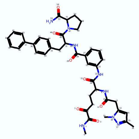 CNC(=O)C(=O)CCC(NC(=O)Cc1cc(C)nn1C)C(=O)Nc1cccc(C(=O)NC(Cc2ccc(-c3ccccc3)cc2)C(=O)N2CCCC2C(N)=O)c1